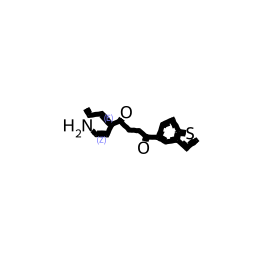 C=C/C=C(\C=C/N)C(=O)CCC(=O)c1ccc2sccc2c1